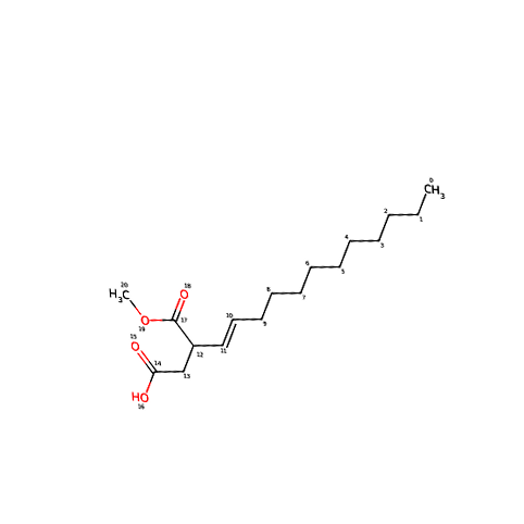 CCCCCCCCCCC=CC(CC(=O)O)C(=O)OC